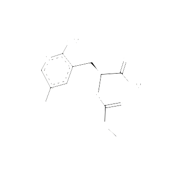 COC(=O)[C@H](Cc1cc(Cl)cnc1OC)NC(=O)OC(C)(C)C